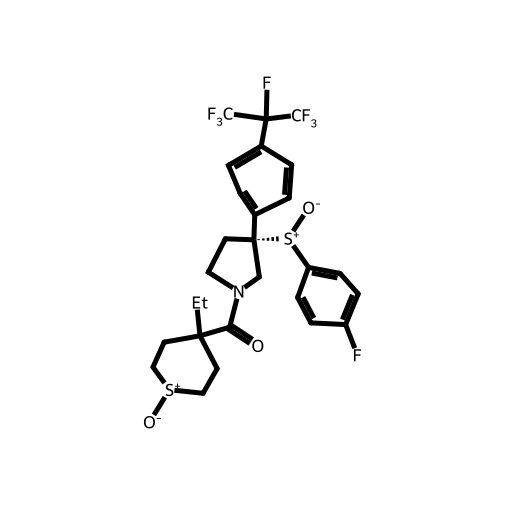 CCC1(C(=O)N2CC[C@](c3ccc(C(F)(C(F)(F)F)C(F)(F)F)cc3)([S+]([O-])c3ccc(F)cc3)C2)CC[S+]([O-])CC1